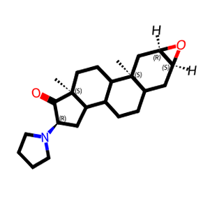 C[C@]12C[C@H]3O[C@H]3CC1CCC1C2CC[C@]2(C)C(=O)[C@H](N3CCCC3)CC12